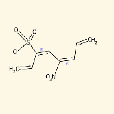 C=C/C=C(\C=C(/C=C)S(=O)(=O)Cl)[N+](=O)[O-]